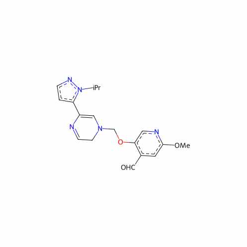 COc1cc(C=O)c(OCN2C=C(c3ccnn3C(C)C)N=CC2)cn1